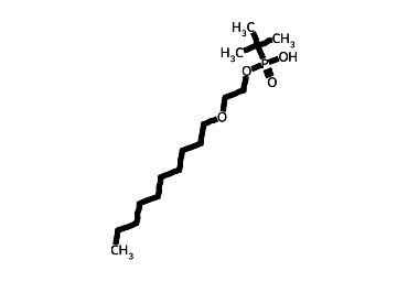 CCCCCCCCCCOCCOP(=O)(O)C(C)(C)C